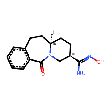 NC(=NO)[C@@H]1CC[C@@H]2CCc3ccccc3C(=O)N2C1